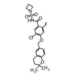 CC1(C)CCc2cc(COc3cc(F)c(C(=O)NS(=O)(=O)N4CCC4)cc3Cl)ccc2O1